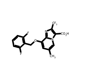 Cc1cc(OCc2c(F)cccc2F)c2nc(C(F)(F)F)c(C(=O)O)n2c1